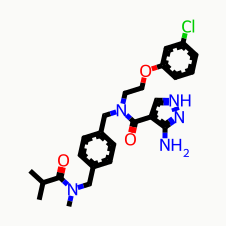 CC(C)C(=O)N(C)Cc1ccc(CN(CCOc2cccc(Cl)c2)C(=O)c2c[nH]nc2N)cc1